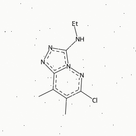 CCNc1nnc2c(C)c(C)c(Cl)nn12